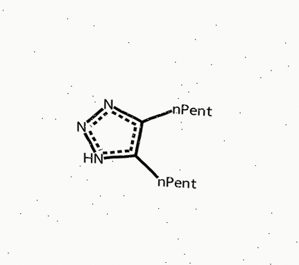 CCCCCc1nn[nH]c1CCCCC